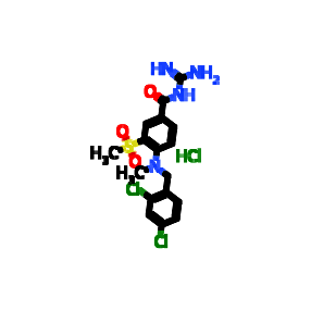 CN(Cc1ccc(Cl)cc1Cl)c1ccc(C(=O)NC(=N)N)cc1S(C)(=O)=O.Cl